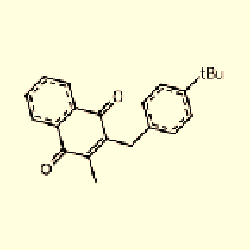 CC1=C(Cc2ccc(C(C)(C)C)cc2)C(=O)c2ccccc2C1=O